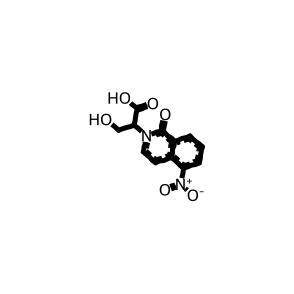 O=C(O)C(CO)n1ccc2c([N+](=O)[O-])cccc2c1=O